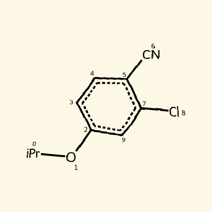 CC(C)Oc1ccc(C#N)c(Cl)c1